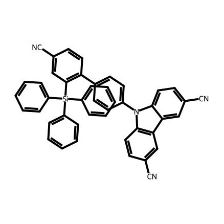 N#Cc1ccc(-c2ccc(-n3c4ccc(C#N)cc4c4cc(C#N)ccc43)cc2)c([Si](c2ccccc2)(c2ccccc2)c2ccccc2)c1